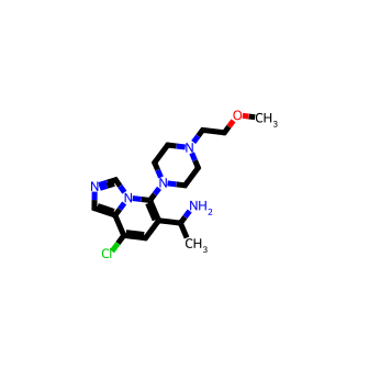 COCCN1CCN(c2c(C(C)N)cc(Cl)c3cncn23)CC1